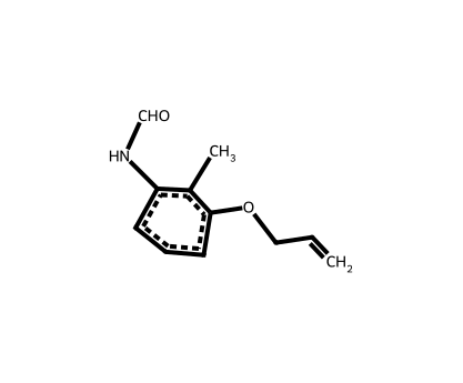 C=CCOc1cccc(NC=O)c1C